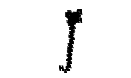 CCCCCCCCCCCCCCCCCCCCCCc1ccc2c(c1)C(O)(c1ccc(Cl)cc1)c1ccccc1-2